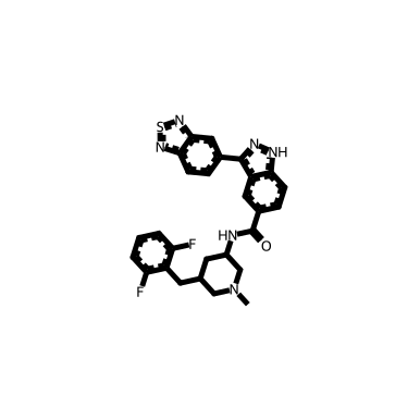 CN1CC(Cc2c(F)cccc2F)CC(NC(=O)c2ccc3[nH]nc(-c4ccc5nsnc5c4)c3c2)C1